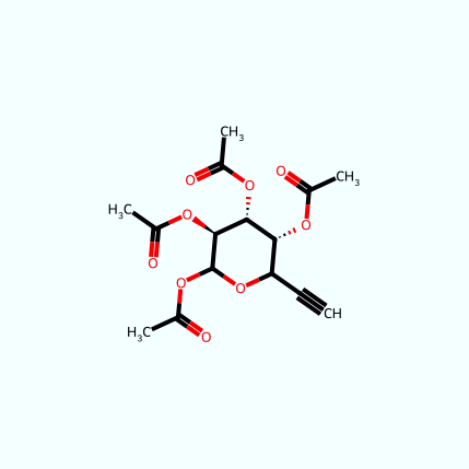 C#CC1OC(OC(C)=O)[C@@H](OC(C)=O)[C@H](OC(C)=O)[C@@H]1OC(C)=O